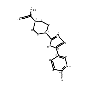 CC(C)(C)C(=O)N1CCN(c2ncc(-c3ccc(F)nc3)s2)CC1